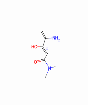 C=C(N)/C(O)=C/C(=O)N(C)C